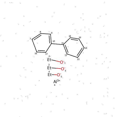 CC[O-].CC[O-].CC[O-].[Al+3].c1ccc(-c2ccccc2)cc1